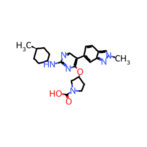 Cn1cc2ccc(-c3cnc(N[C@H]4CC[C@H](C)CC4)nc3OC3CCN(C(=O)O)C3)cc2n1